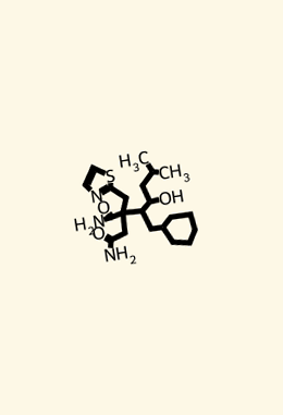 CC(C)CC(O)C(CC1CCCCC1)C(CC(N)=O)(Cc1nccs1)C(N)=O